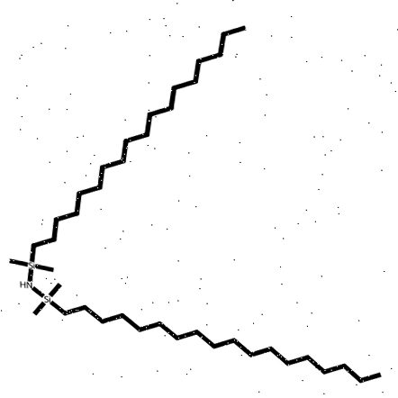 CCCCCCCCCCCCCCCCCC[Si](C)(C)N[Si](C)(C)CCCCCCCCCCCCCCCCCC